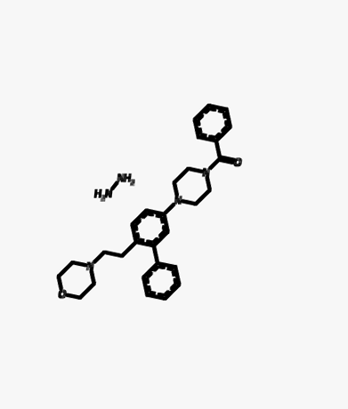 NN.O=C(c1ccccc1)N1CCN(c2ccc(CCN3CCOCC3)c(-c3ccccc3)c2)CC1